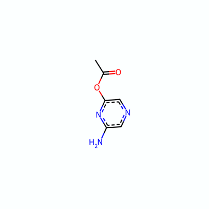 CC(=O)Oc1cncc(N)n1